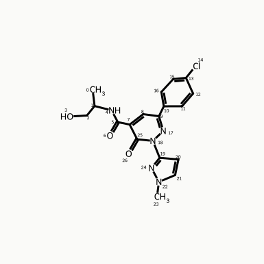 CC(CO)NC(=O)c1cc(-c2ccc(Cl)cc2)nn(-c2ccn(C)n2)c1=O